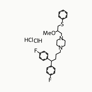 COC(CSc1ccccc1)CN1CCN(CCCC(c2ccc(F)cc2)c2ccc(F)cc2)CC1.Cl.Cl